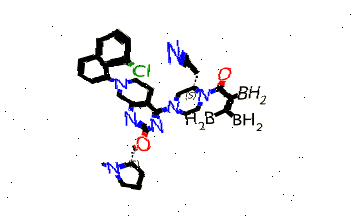 BC(B)=C(B)C(=O)N1CCN(c2nc(OC[C@@H]3CCCN3C)nc3c2CCN(c2cccc4cccc(Cl)c24)C3)C[C@@H]1CC#N